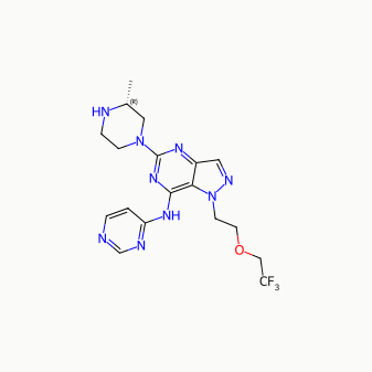 C[C@@H]1CN(c2nc(Nc3ccncn3)c3c(cnn3CCOCC(F)(F)F)n2)CCN1